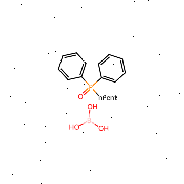 CCCCCP(=O)(c1ccccc1)c1ccccc1.OB(O)O